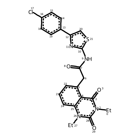 CCn1c(=O)c2c(CC(=O)Nc3nc(-c4ccc(Cl)cc4)cs3)cccc2n(CC)c1=O